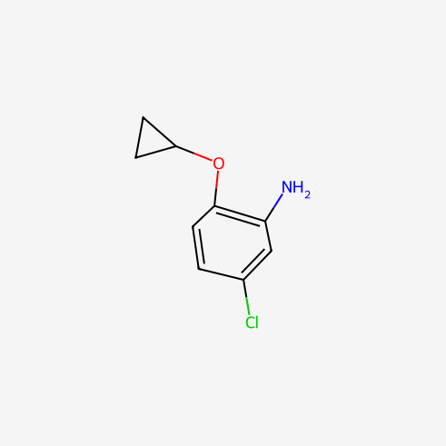 Nc1cc(Cl)ccc1OC1CC1